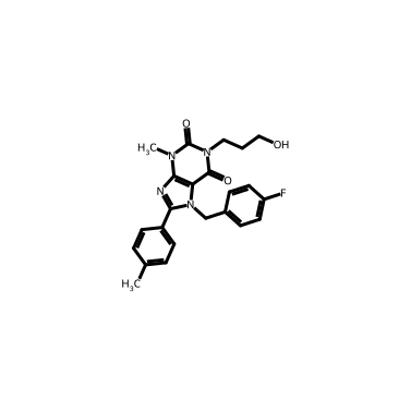 Cc1ccc(-c2nc3c(c(=O)n(CCCO)c(=O)n3C)n2Cc2ccc(F)cc2)cc1